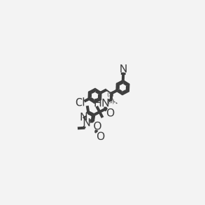 CCn1nc(C)c(C(C)(C)C(=O)N[C@@H](C)[C@@H](Cc2ccc(Cl)cc2)c2cccc(C#N)c2)c1OC=O